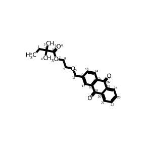 CCC(C)(C)C(=O)OCCOCc1ccc2c(c1)C(=O)c1ccccc1C2=O